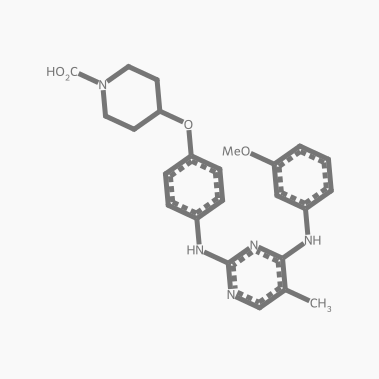 COc1cccc(Nc2nc(Nc3ccc(OC4CCN(C(=O)O)CC4)cc3)ncc2C)c1